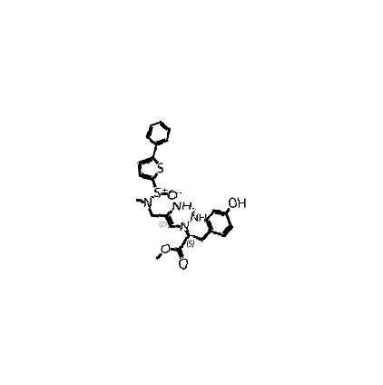 COC(=O)[C@H](Cc1ccc(O)cc1)N(N)/C=C(\N)CN(C)[S+]([O-])c1ccc(-c2ccccc2)s1